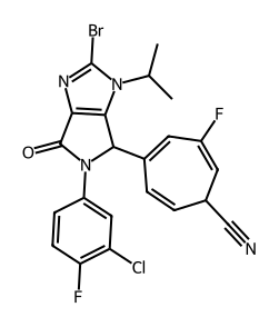 CC(C)n1c(Br)nc2c1C(C1=CC(F)=CC(C#N)C=C1)N(c1ccc(F)c(Cl)c1)C2=O